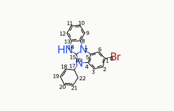 Brc1ccc2c(c1)N1c3ccccc3NC1N2C1C=CC=CC1